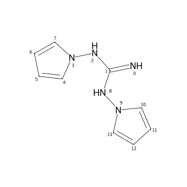 N=C(Nn1cccc1)Nn1cccc1